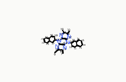 Cc1nc2c(nc1C)N(c1ccc3ccccc3c1)c1nc(C)c(C)nc1N2c1ccc2ccccc2c1